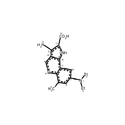 CCN(CC)c1cc(C)c2ncc3c(N)c(C(=O)O)[nH]c3c2c1